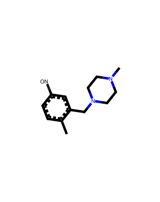 Cc1ccc(N=O)cc1CN1CCN(C)CC1